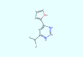 CC(C)c1cc(-c2ccco2)ncn1